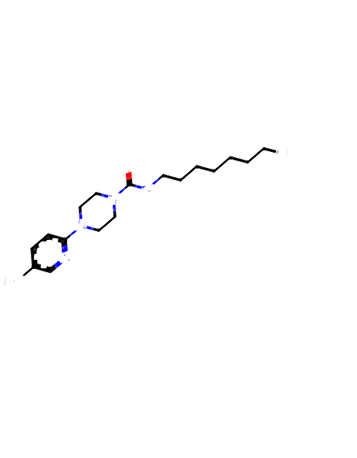 CCCCCCCCNC(=O)N1CCN(c2ccc(C)cn2)CC1